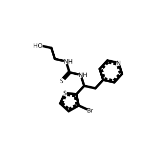 OCCNC(=S)NC(Cc1ccncc1)c1sccc1Br